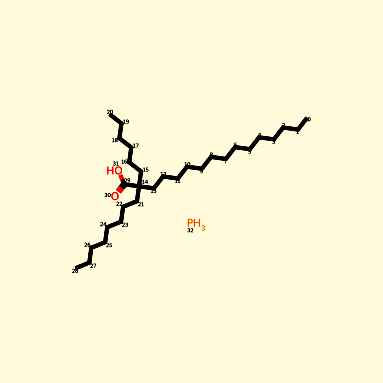 CCCCCCCCCCCCCCC(CCCCCC)(CCCCCCCC)C(=O)O.P